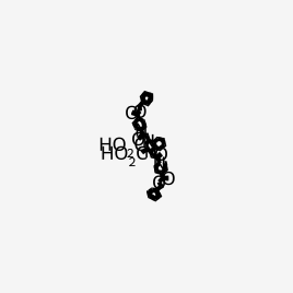 O=C(O)CN(CC(=O)N1CCC(C(=O)OCc2ccccc2)CC1)C1CCCCC1N(CC(=O)O)CC(=O)N1CCC(C(=O)OCc2ccccc2)CC1